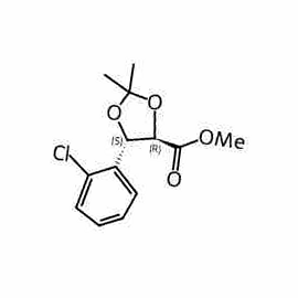 COC(=O)[C@@H]1OC(C)(C)O[C@H]1c1ccccc1Cl